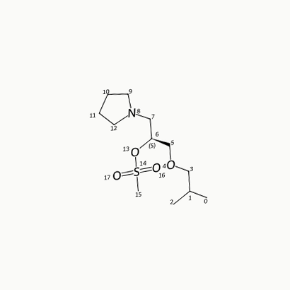 CC(C)COC[C@H](CN1CCCC1)OS(C)(=O)=O